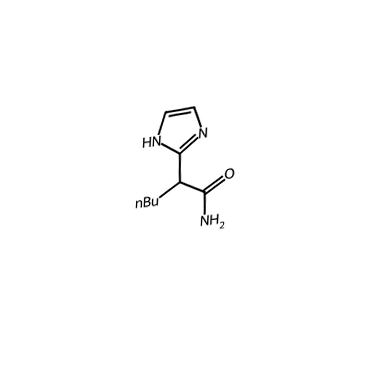 CCCCC(C(N)=O)c1ncc[nH]1